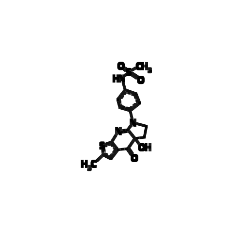 Cc1cc2c(s1)N=C1N(c3ccc(NS(C)(=O)=O)cc3)CCC1(O)C2=O